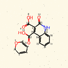 C1=CCOC=C1.O=C(O)c1c(C(=O)O)c2ccccc2[nH]c1=O